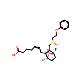 O=C(O)CCC/C=C\C[C@H]1[C@@H](C[S+]([O-])CCOc2ccccc2)[C@H]2CC[C@@H]1O2